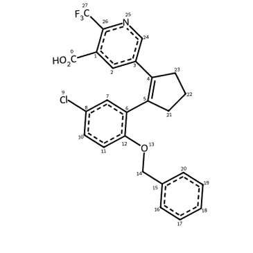 O=C(O)c1cc(C2=C(c3cc(Cl)ccc3OCc3ccccc3)CCC2)cnc1C(F)(F)F